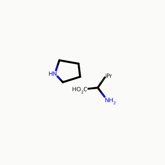 C1CCNC1.CC(C)C(N)C(=O)O